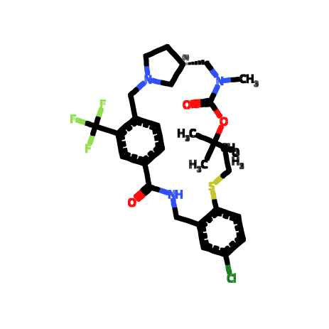 CCSc1ccc(Cl)cc1CNC(=O)c1ccc(CN2CC[C@H](CN(C)C(=O)OC(C)(C)C)C2)c(C(F)(F)F)c1